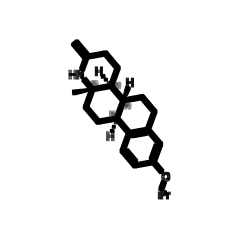 C=C1CC[C@H]2[C@@H]3CCc4cc(OC(C)C)ccc4[C@H]3CC[C@]2(C)N1